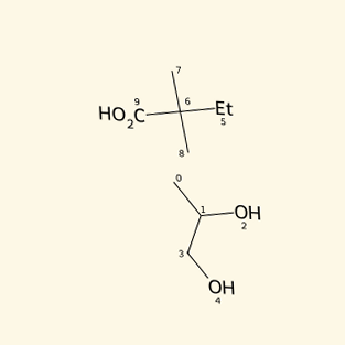 CC(O)CO.CCC(C)(C)C(=O)O